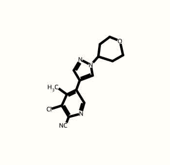 Cc1c(-c2cnn(C3CCOCC3)c2)cnc(C#N)c1Cl